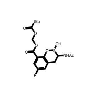 CC(=O)NC1Cc2cc(F)cc(C(=O)OCOC(=O)C(C)(C)C)c2OB1O